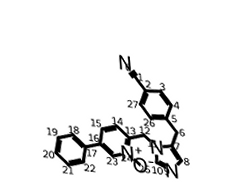 N#Cc1ccc(Cc2cncn2Cc2ccc(-c3ccccc3)c[n+]2[O-])cc1